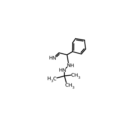 CC(C)(C)NNC(C=N)c1ccccc1